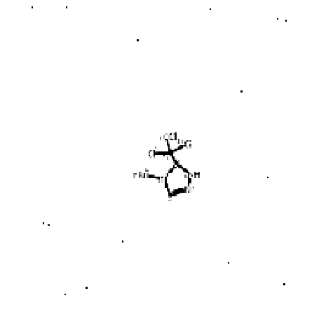 CCCCN1C=NNC1C(Cl)(Cl)C(Cl)(Cl)Cl